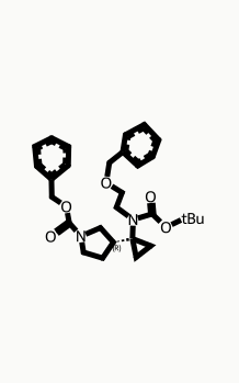 CC(C)(C)OC(=O)N(CCOCc1ccccc1)C1([C@@H]2CCN(C(=O)OCc3ccccc3)C2)CC1